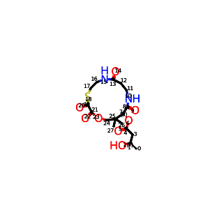 C[C@@H](O)CC(=O)O[C@H]1C(=O)NCCC(=O)NCCSC(=O)C(=O)OCC1(C)C